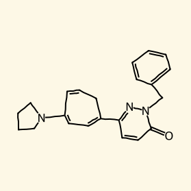 O=c1ccc(C2=CC=C(N3CCCC3)C=CC2)nn1Cc1ccccc1